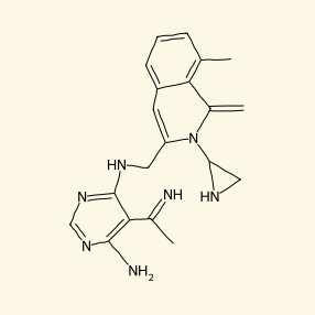 C=C1c2c(C)cccc2C=C(CNc2ncnc(N)c2C(C)=N)N1C1CN1